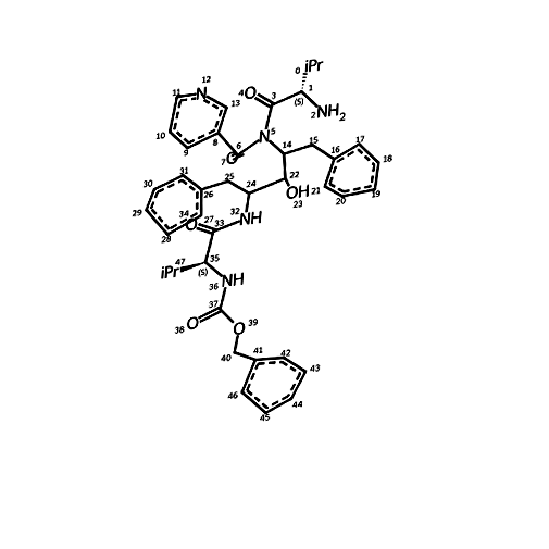 CC(C)[C@H](N)C(=O)N(C(=O)c1cccnc1)C(Cc1ccccc1)C(O)C(Cc1ccccc1)NC(=O)[C@@H](NC(=O)OCc1ccccc1)C(C)C